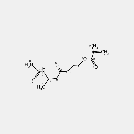 C=C(C)C(=O)OCCOC(=O)CC(C)NC(N)=O